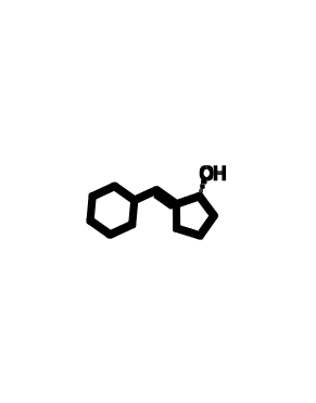 O[C@@H]1CCC/C1=C\C1CCCCC1